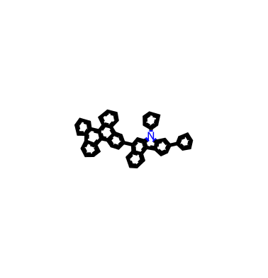 c1ccc(-c2ccc3c4c5ccccc5c(-c5ccc6c(c5)c5ccccc5c5c7ccccc7c7ccccc7c65)cc4n(-c4ccccc4)c3c2)cc1